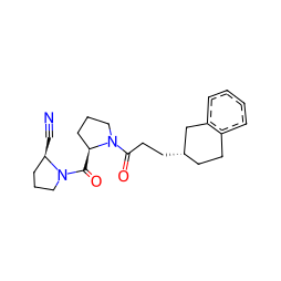 N#C[C@@H]1CCCN1C(=O)[C@H]1CCCN1C(=O)CC[C@H]1CCc2ccccc2C1